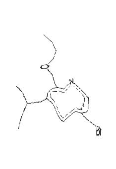 CCOc1ncc(Br)cc1C(C)C